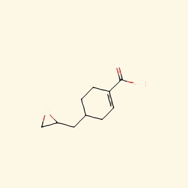 O=C(O)C1=CCC(CC2CO2)CC1